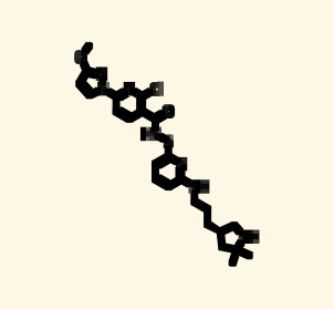 COc1ccn(-c2ccc(C(=O)NSc3cccc(NCCC[C@H]4CNC(C)(C)C4)n3)c(Cl)n2)n1